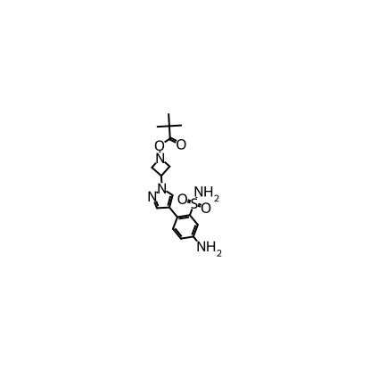 CC(C)(C)C(=O)ON1CC(n2cc(-c3ccc(N)cc3S(N)(=O)=O)cn2)C1